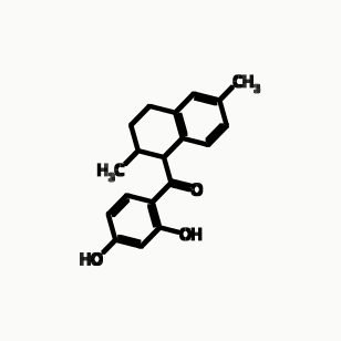 Cc1ccc2c(c1)CCC(C)C2C(=O)c1ccc(O)cc1O